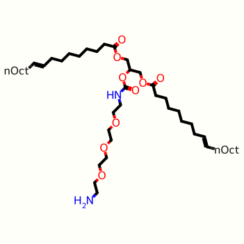 CCCCCCCCC=CCCCCCCCC(=O)OCC(COC(=O)CCCCCCCC=CCCCCCCCC)OC(=O)NCCOCCOCCOCCN